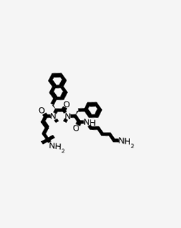 CN(C(=O)/C=C/CC(C)(C)N)[C@H](Cc1ccc2ccccc2c1)C(=O)N(C)[C@H](Cc1ccccc1)C(=O)NCCCCCN